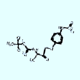 C[C@@H](NC(=O)OC(C)(C)C)C(=O)COc1ccc(N[SH](=O)=O)cc1